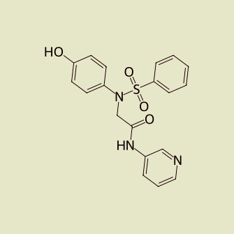 O=C(CN(c1ccc(O)cc1)S(=O)(=O)c1ccccc1)Nc1cccnc1